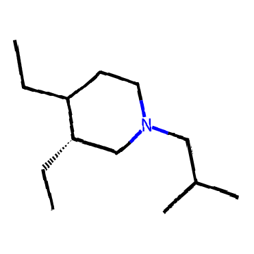 CCC1CCN(CC(C)C)C[C@@H]1CC